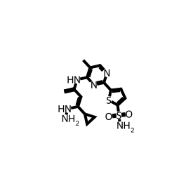 C=C(/C=C(\NN)C1CC1)Nc1nc(-c2ccc(S(N)(=O)=O)s2)ncc1C